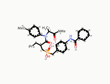 CNC(=O)C(C)N(C(=O)C(CC(C)C)CP(=O)(O)Cc1ccc(NC(=O)c2ccccc2)cc1)c1ccc(OC)cc1